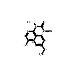 CC(C)(C)OC(=O)N(C(=O)O)c1ncc(Br)c2cc(CN)ccc12